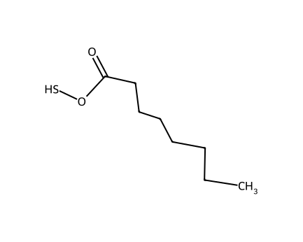 CCCCCCCC(=O)OS